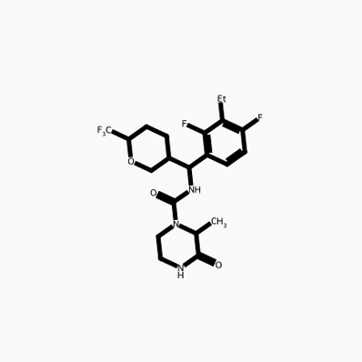 CCc1c(F)ccc(C(NC(=O)N2CCNC(=O)C2C)C2CCC(C(F)(F)F)OC2)c1F